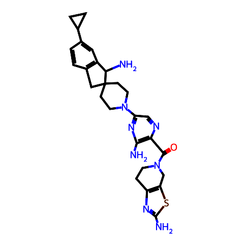 Nc1nc2c(s1)CN(C(=O)c1ncc(N3CCC4(CC3)Cc3ccc(C5CC5)cc3C4N)nc1N)CC2